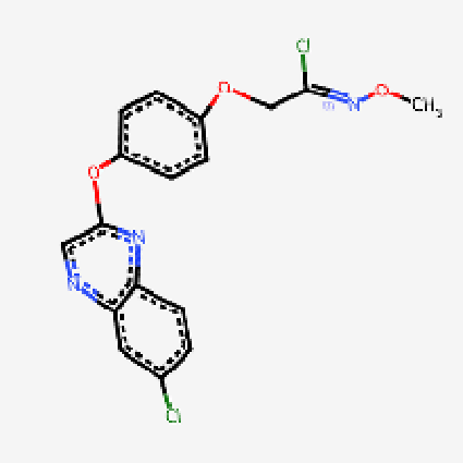 CO/N=C(\Cl)COc1ccc(Oc2cnc3cc(Cl)ccc3n2)cc1